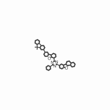 CC1(C)c2ccccc2-c2ccc(-c3ccc4oc5c(-c6nc(-c7ccccc7)nc(-c7ccc8oc9c%10ccccc%10ccc9c8c7)n6)cccc5c4c3)cc21